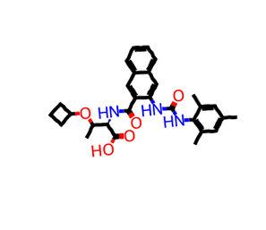 Cc1cc(C)c(NC(=O)Nc2cc3ccccc3cc2C(=O)N[C@H](C(=O)O)C(C)OC2CCC2)c(C)c1